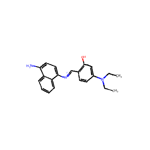 CCN(CC)c1ccc(/C=N/c2ccc(N)c3ccccc23)c(O)c1